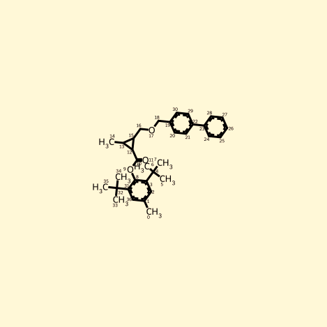 Cc1cc(C(C)(C)C)c(OC(=O)C2C(C)C2COCc2ccc(-c3ccccc3)cc2)c(C(C)(C)C)c1